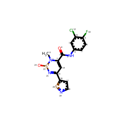 CN1C(C(=O)Nc2ccc(F)c(Cl)c2)=CC(c2ccns2)=N[S+]1[O-]